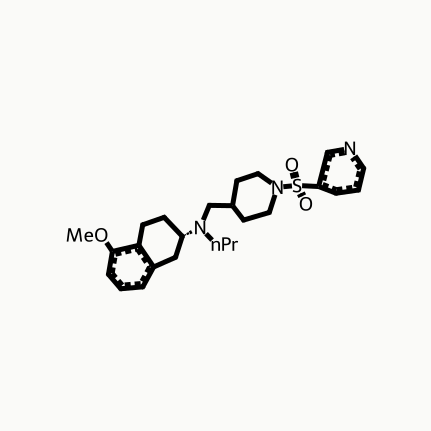 CCCN(CC1CCN(S(=O)(=O)c2cccnc2)CC1)[C@H]1CCc2c(cccc2OC)C1